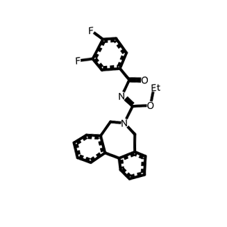 CCO/C(=N\C(=O)c1ccc(F)c(F)c1)N1Cc2ccccc2-c2ccccc2C1